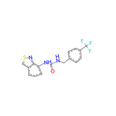 O=C(NCc1ccc(C(F)(F)F)cc1)Nc1cccc2csnc12